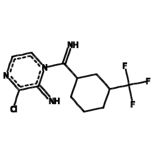 N=C(C1CCCC(C(F)(F)F)C1)n1ccnc(Cl)c1=N